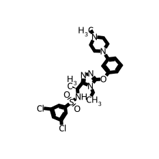 CCn1c(Oc2cccc(N3CCN(C)CC3)c2)nnc1[C@@H](C)NS(=O)(=O)c1cc(Cl)cc(Cl)c1